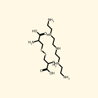 NC(CSSCC(N)C(=O)O)C(=O)O.NCCNCCNCCNCCN